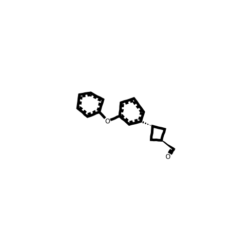 O=C[C@H]1C[C@H](c2cccc(Oc3ccccc3)c2)C1